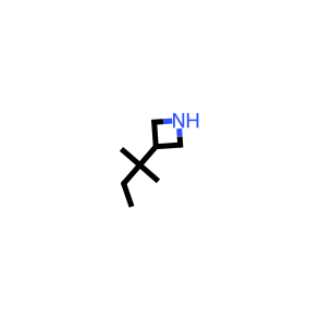 CCC(C)(C)C1CNC1